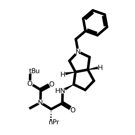 CCC[C@@H](C(=O)N[C@@H]1CC[C@H]2CN(Cc3ccccc3)C[C@H]21)N(C)C(=O)OC(C)(C)C